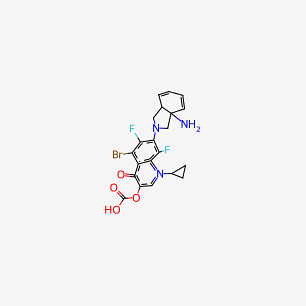 NC12C=CC=CC1CN(c1c(F)c(Br)c3c(=O)c(OC(=O)O)cn(C4CC4)c3c1F)C2